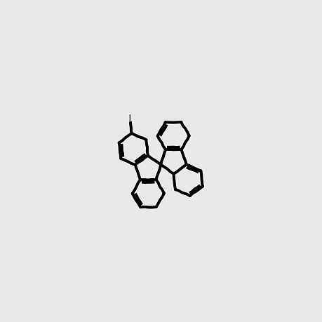 IC1C=CC2=C(C1)C1(C3=C(CCC=C3)C3=CC=CCC31)C1=C2C=CCC1